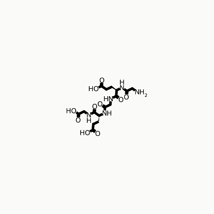 NCC(=O)N[C@H](CCC(=O)O)C(=O)NCC(=O)N[C@H](CCC(=O)O)C(=O)NCC(=O)O